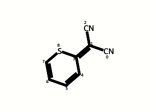 N#CC(C#N)=C1C=CC=CS1